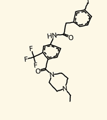 CCN1CCN(C(=O)c2ccc(NC(=O)Cc3cccc(I)c3)cc2C(F)(F)F)CC1